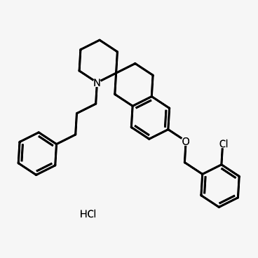 Cl.Clc1ccccc1COc1ccc2c(c1)CCC1(CCCCN1CCCc1ccccc1)C2